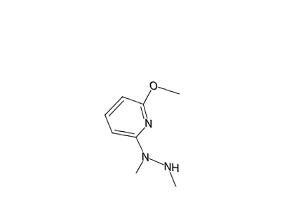 CNN(C)c1cccc(OC)n1